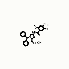 COc1cc(N)c(Cl)cc1C(=O)NC1CC(CO)N(C(c2ccccc2)c2ccccc2)C1.Cl